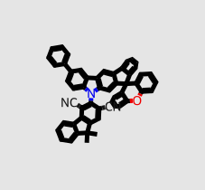 CC1(C)c2ccccc2-c2c1cc(C#N)c(-n1c3ccc(-c4ccccc4)cc3c3cc4c(cc31)C1(c3ccccc3Oc3ccccc31)c1ccccc1-4)c2C#N